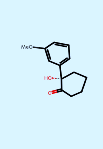 COc1cccc([C@@]2(O)CCCCC2=O)c1